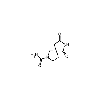 NC(=O)N1CCC2(CC(=O)NC2=O)C1